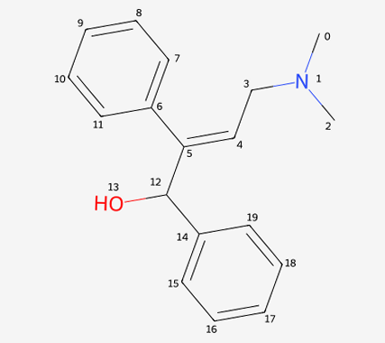 CN(C)C/C=C(\c1ccccc1)C(O)c1ccccc1